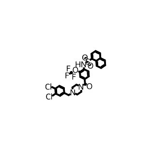 O=C(c1ccc(NS(=O)(=O)c2cccc3ccccc23)c(OC(F)(F)F)c1)N1CCN(Cc2ccc(Cl)c(Cl)c2)CC1